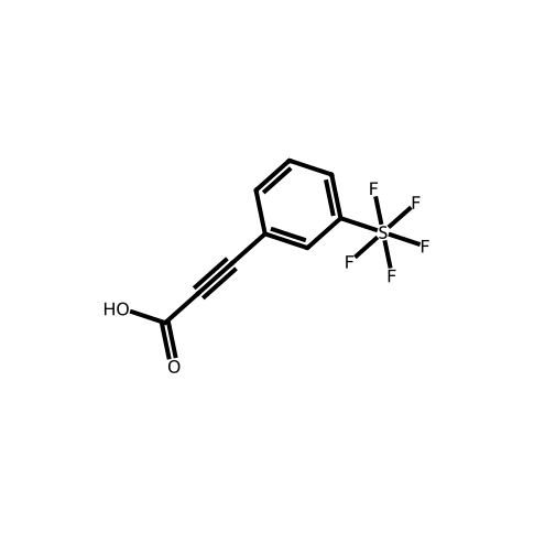 O=C(O)C#Cc1cccc(S(F)(F)(F)(F)F)c1